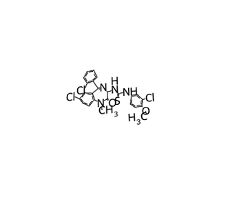 COc1ccc(NC(=S)NC2N=C(c3ccccc3Cl)c3cc(Cl)ccc3N(C)C2=O)cc1Cl